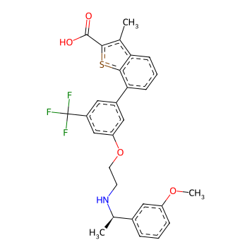 COc1cccc([C@@H](C)NCCOc2cc(-c3cccc4c(C)c(C(=O)O)sc34)cc(C(F)(F)F)c2)c1